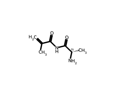 C=C(C)C(=O)NC(=O)[C@H](C)N